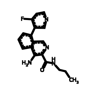 CCCNC(=O)c1ncc2c(-c3cnccc3F)cccc2c1N